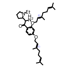 CCN1CCCC1C(N)C(=O)c1ccc(OC/C=C(\C)CCC=C(C)C)cc1OC/C=C(\C)CCC=C(C)C